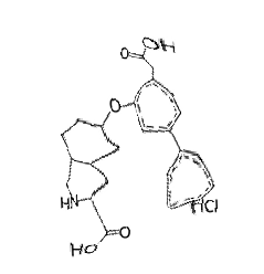 Cl.O=C(O)c1ccc(-c2ccccc2)cc1OC1CCC2CNC(C(=O)O)CC2C1